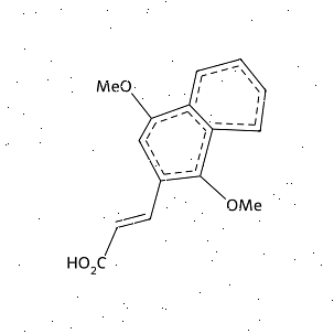 COc1cc(C=CC(=O)O)c(OC)c2ccccc12